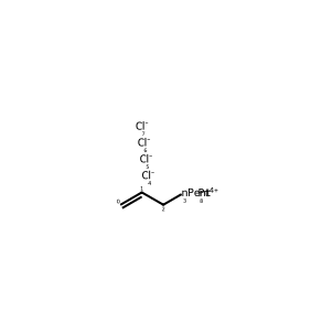 C=CCCCCCC.[Cl-].[Cl-].[Cl-].[Cl-].[Pt+4]